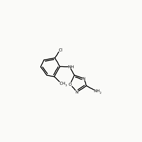 Cc1cccc(Cl)c1Nc1nc(N)no1